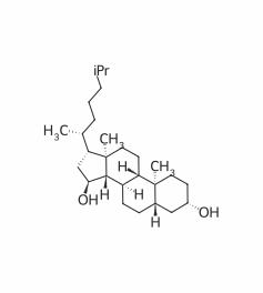 CC(C)CCC[C@@H](C)[C@H]1C[C@H](O)[C@H]2[C@@H]3CC[C@H]4C[C@@H](O)CC[C@]4(C)[C@H]3CC[C@@]21C